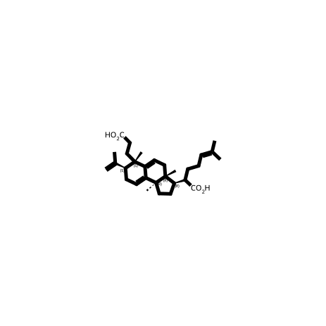 C=C(C)[C@@H]1CC=C2C(=CC[C@]3(C)[C@@H](C(CCC=C(C)C)C(=O)O)CC[C@@]23C)[C@@]1(C)CCC(=O)O